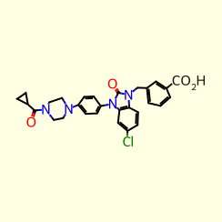 O=C(O)c1cccc(Cn2c(=O)n(-c3ccc(N4CCN(C(=O)C5CC5)CC4)cc3)c3cc(Cl)ccc32)c1